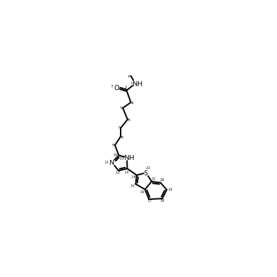 CNC(=O)CCCCCCc1ncc(-c2cc3ccccc3s2)[nH]1